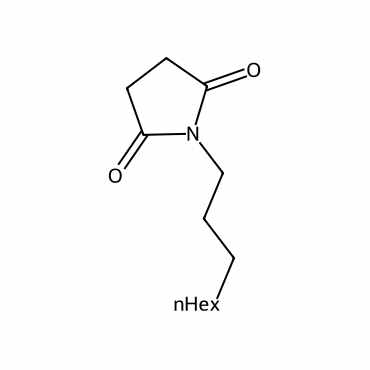 CCCCCCCCCN1C(=O)CCC1=O